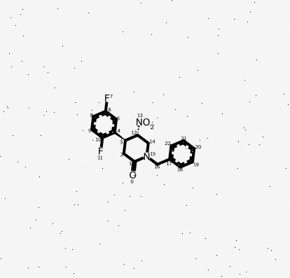 O=C1C[C@@H](c2cc(F)ccc2F)[C@H]([N+](=O)[O-])CN1Cc1ccccc1